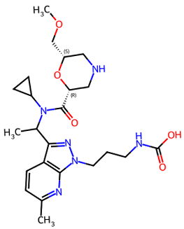 COC[C@@H]1CNC[C@H](C(=O)N(C2CC2)C(C)c2nn(CCCNC(=O)O)c3nc(C)ccc23)O1